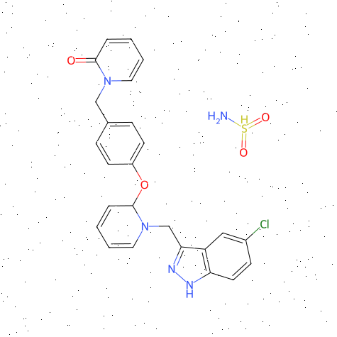 N[SH](=O)=O.O=c1ccccn1Cc1ccc(OC2C=CC=CN2Cc2n[nH]c3ccc(Cl)cc23)cc1